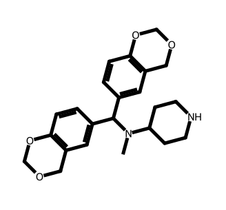 CN(C1CCNCC1)C(c1ccc2c(c1)COCO2)c1ccc2c(c1)COCO2